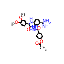 CCOc1cc(C(Nc2ccc(C(=N)N)cc2)C(=O)NNC(=O)c2ccc(OC(=O)C(F)(F)F)cc2)ccc1OC(C)C